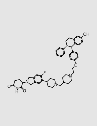 O=C1CCC(N2Cc3cc(F)c(C4CCN(CC5CCN(CCOc6ccc([C@@H]7c8ccc(O)cc8CC[C@@H]7c7ccccc7)cc6)CC5)CC4)cc3C2)C(=O)N1